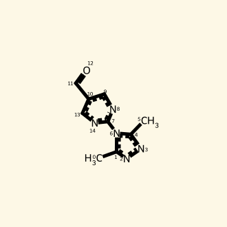 Cc1nnc(C)n1-c1ncc(C=O)cn1